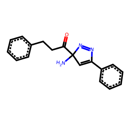 NC1(C(=O)CCc2ccccc2)C=C(c2ccccc2)N=N1